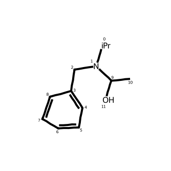 CC(C)N(Cc1ccccc1)C(C)O